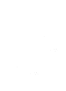 COC(=O)CC[C@@]1(CC(=O)OC)CCc2ccccc2C1